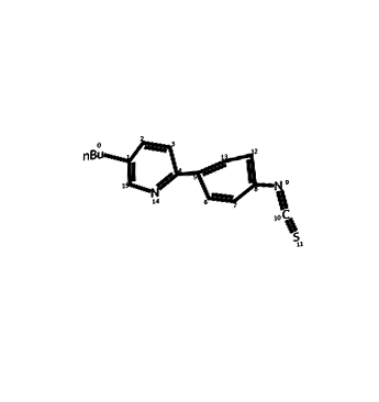 CCCCc1ccc(-c2ccc(N=C=S)cc2)nc1